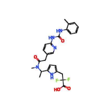 Cc1ccccc1NC(=O)Nc1ccc(CC(=O)N(C)C(C)c2ccc(CC(F)(F)C(=O)O)[nH]2)cn1